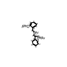 COc1ccccc1CNCC(NC(C)(C)C)c1ccccc1